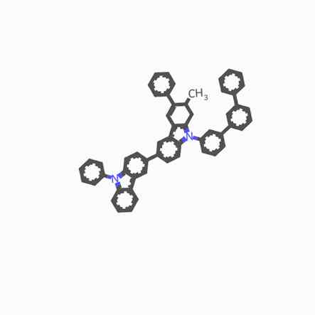 CC1Cc2c(c3cc(-c4ccc5c(c4)c4ccccc4n5-c4ccccc4)ccc3n2-c2cccc(-c3cccc(-c4ccccc4)c3)c2)C=C1c1ccccc1